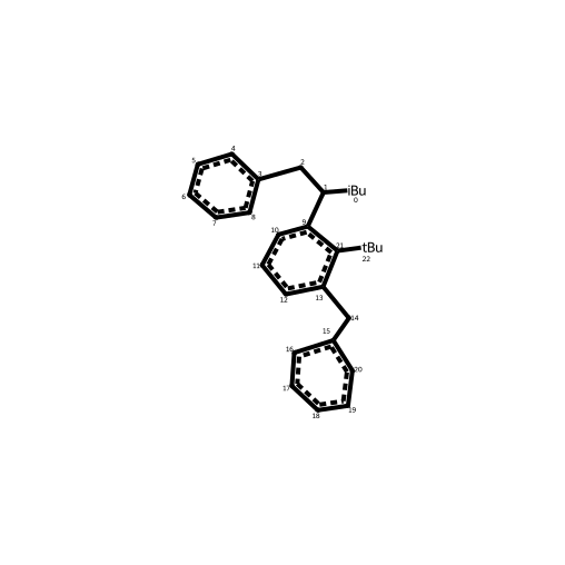 CCC(C)[C](Cc1ccccc1)c1cccc(Cc2ccccc2)c1C(C)(C)C